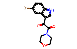 O=C(C(=O)N1CCOCC1)c1c[nH]c2ccc(Br)cc12